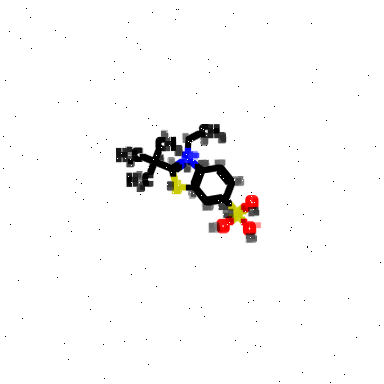 CC[n+]1c(C(C)(C)C)sc2cc(S(=O)(=O)[O-])ccc21